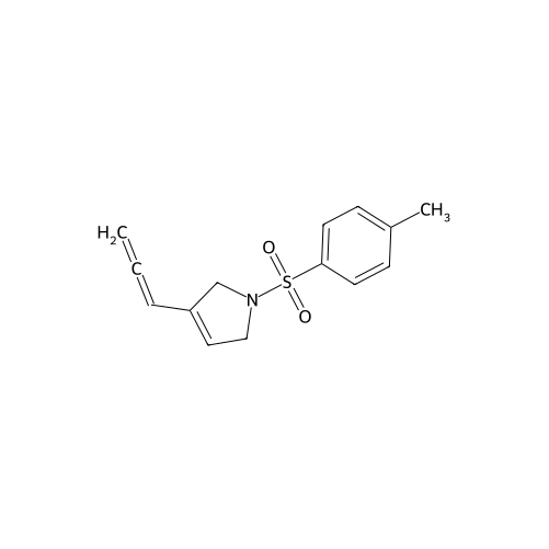 C=C=CC1=CCN(S(=O)(=O)c2ccc(C)cc2)C1